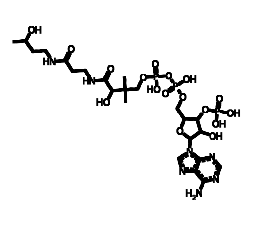 CC(O)CCNC(=O)CCNC(=O)C(O)C(C)(C)COP(=O)(O)OP(=O)(O)OCC1OC(n2cnc3c(N)ncnc32)C(O)C1OP(=O)(O)O